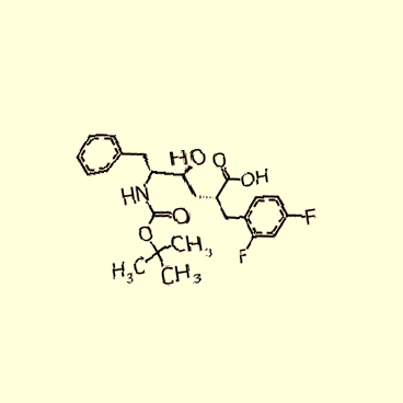 CC(C)(C)OC(=O)N[C@@H](Cc1ccccc1)[C@@H](O)C[C@@H](Cc1ccc(F)cc1F)C(=O)O